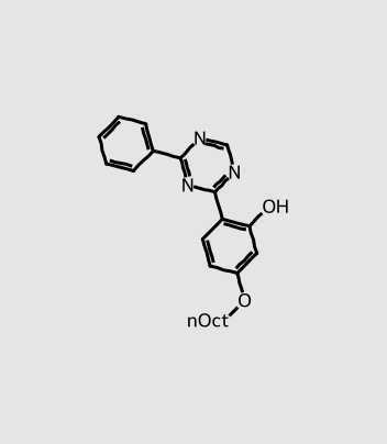 CCCCCCCCOc1ccc(-c2ncnc(-c3ccccc3)n2)c(O)c1